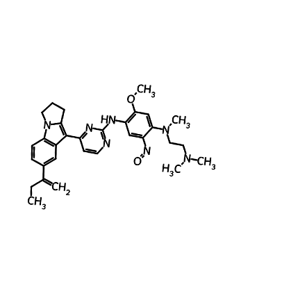 C=C(CC)c1ccc2c(c1)c(-c1ccnc(Nc3cc(N=O)c(N(C)CCN(C)C)cc3OC)n1)c1n2CCC1